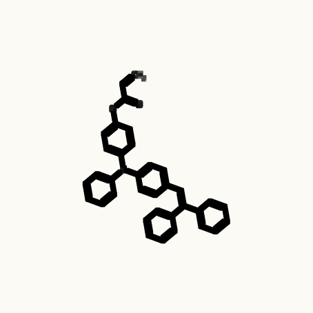 C=CC(=O)Oc1ccc(N(c2ccccc2)c2ccc(C=C(c3ccccc3)c3ccccc3)cc2)cc1